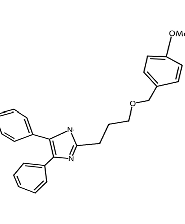 COc1ccc(COCCCC2=NC(c3ccccc3)=C(c3ccccc3)[N]2)cc1